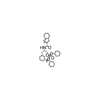 O=C(NC(COP(=O)(Oc1ccccc1)Oc1ccccc1)Cc1cccc(F)c1)c1cc2ccccc2s1